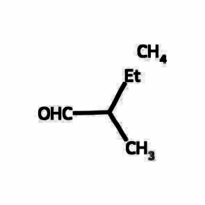 C.CCC(C)C=O